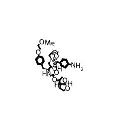 COCCOc1ccc(C[C@H](NC(=O)O[C@H]2CO[C@H]3OCC[C@H]32)C(O)CN(CC(C)C)S(=O)(=O)c2ccc(N)cc2)cc1